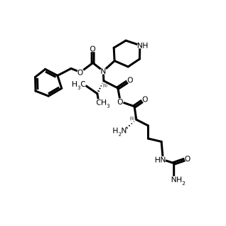 CC(C)[C@@H](C(=O)OC(=O)[C@@H](N)CCCNC(N)=O)N(C(=O)OCc1ccccc1)C1CCNCC1